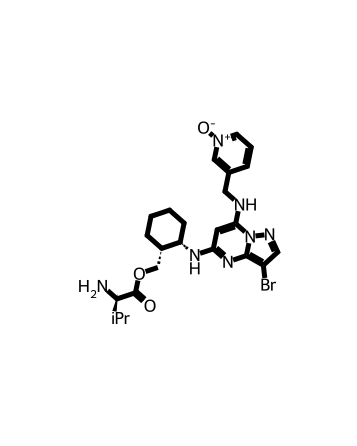 CC(C)[C@@H](N)C(=O)OC[C@@H]1CCCC[C@@H]1Nc1cc(NCc2ccc[n+]([O-])c2)n2ncc(Br)c2n1